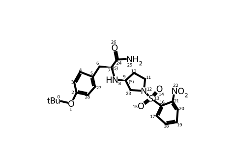 CC(C)(C)Oc1ccc(C[C@H](N[C@H]2CCN(S(=O)(=O)c3ccccc3[N+](=O)[O-])C2)C(N)=O)cc1